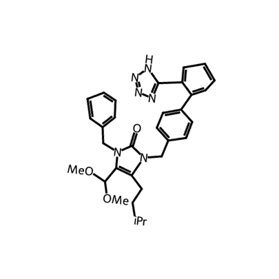 COC(OC)c1c(CCC(C)C)n(Cc2ccc(-c3ccccc3-c3nnn[nH]3)cc2)c(=O)n1Cc1ccccc1